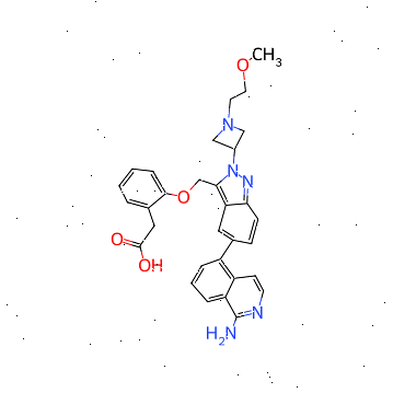 COCCN1CC(n2nc3ccc(-c4cccc5c(N)nccc45)cc3c2COc2ccccc2CC(=O)O)C1